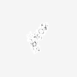 O=S(=O)(Nc1ccccc1-c1nc2ccncc2s1)c1ccc(C(F)(F)F)cc1